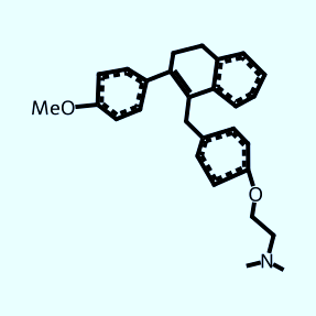 COc1ccc(C2=C(Cc3ccc(OCCN(C)C)cc3)c3ccccc3CC2)cc1